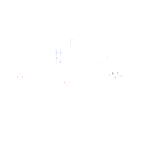 COC(=O)c1ccc(NC2=CC(=O)c3ccccc3C2=O)c(F)c1